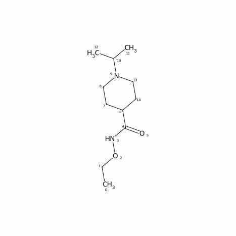 CCONC(=O)C1CCN(C(C)C)CC1